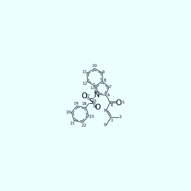 CC(C)=CC(=O)c1cc2ccccc2n1S(=O)(=O)c1ccccc1